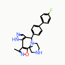 Cc1noc(C)c1-c1[nH]ncc1C(c1ccc(-c2ccc(F)cc2)cc1)N1CCNCC1